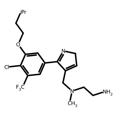 CC(C)CCOc1cc(C2=NCC=C2CN(C)CCN)cc(C(F)(F)F)c1Cl